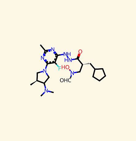 Cc1nc(NNC(=O)[C@H](CC2CCCC2)CN(O)C=O)c(F)c(N2CC(N(C)C)[C@@H](C)C2)n1